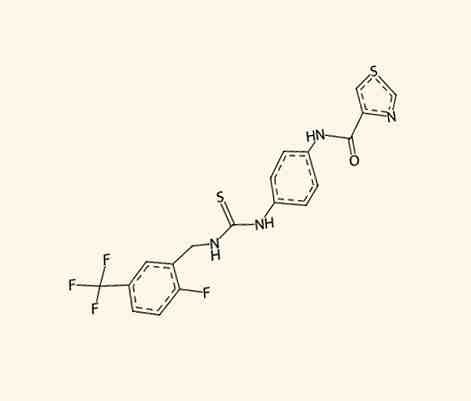 O=C(Nc1ccc(NC(=S)NCc2cc(C(F)(F)F)ccc2F)cc1)c1cscn1